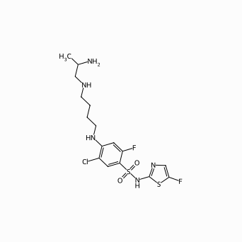 CC(N)CNCCCCNc1cc(F)c(S(=O)(=O)Nc2ncc(F)s2)cc1Cl